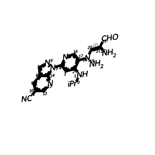 CC(C)Nc1cc(-n2ncc3cc(C#N)cnc32)ncc1N(N)/C=C(\N)C=O